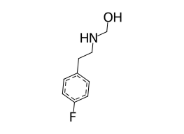 OCNCCc1ccc(F)cc1